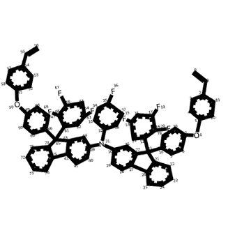 C=Cc1ccc(Oc2ccc(C3(c4cc(F)cc(F)c4F)c4ccccc4-c4ccc(N(c5ccc(F)cc5)c5ccc6c(c5)C(c5ccc(Oc7ccc(C=C)cc7)cc5)(c5cc(F)cc(F)c5F)c5ccccc5-6)cc43)cc2)cc1